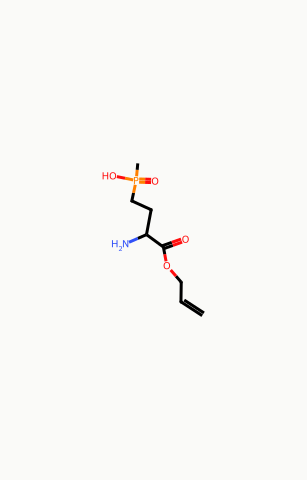 C=CCOC(=O)C(N)CCP(C)(=O)O